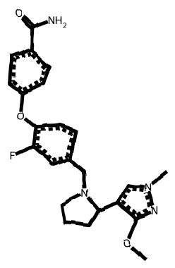 COc1nn(C)cc1C1CCCN1Cc1ccc(Oc2ccc(C(N)=O)cc2)c(F)c1